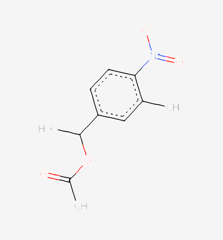 CC(=O)OC(C)c1ccc([N+](=O)[O-])c(C)c1